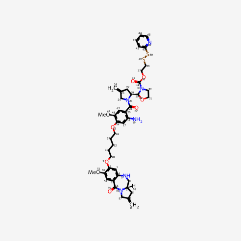 C=C1C[C@H]2CNc3cc(OCCCCCOc4cc(N)c(C(=O)N5CC(=C)C[C@H]5C5OCCN5C(=O)OCCSSc5ccccn5)cc4OC)c(OC)cc3C(=O)N2C1